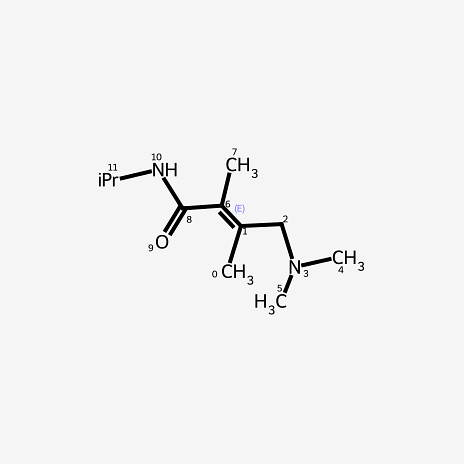 C/C(CN(C)C)=C(/C)C(=O)NC(C)C